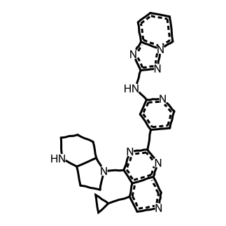 c1ccn2nc(Nc3cc(-c4nc(N5CCC6NCCCC65)c5c(C6CC6)cncc5n4)ccn3)nc2c1